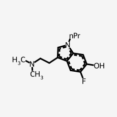 CCCn1cc(CCN(C)C)c2cc(F)c(O)cc21